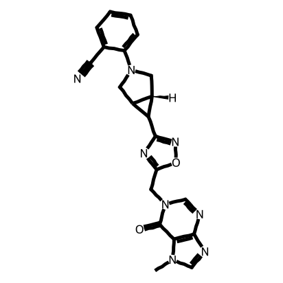 Cn1cnc2ncn(Cc3nc(C4C5CN(c6ccccc6C#N)C[C@@H]54)no3)c(=O)c21